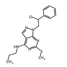 CCCNc1nc(SC)nc2c1cnn2CC(Cl)c1ccccc1